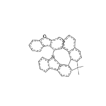 CC1(C)c2ccc3ccccc3c2-c2c1ccc1c3ccccc3n(-c3cccc4oc5ccccc5c34)c21